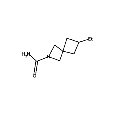 CCC1CC2(C1)CN(C(N)=O)C2